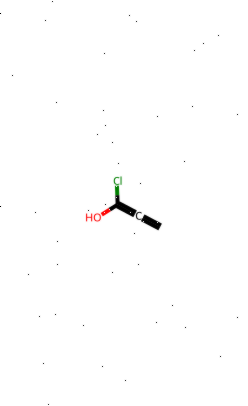 C=C=C(O)Cl